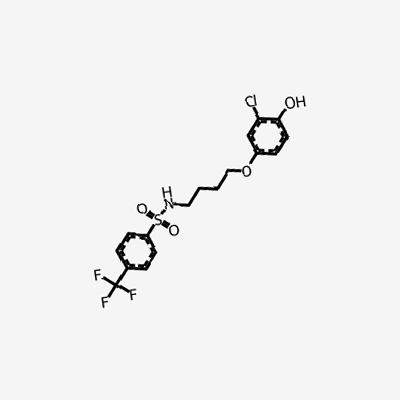 O=S(=O)(NCCCCOc1ccc(O)c(Cl)c1)c1ccc(C(F)(F)F)cc1